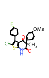 COc1ccc(C2(C)C(=O)Nc3sc(Cl)c(-c4ccc(F)cc4)c3C2=O)cc1